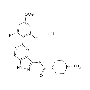 COc1cc(F)c(-c2ccc3[nH]nc(NC(=O)C4CCN(C)CC4)c3c2)c(F)c1.Cl